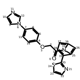 O=C(COc1ccc(-n2ccnc2)cc1)N1C2=CC=C(c3nccs3)C1=C2